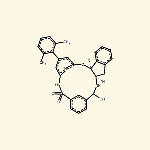 Cc1cccc(C)c1-c1cc2nc(n1)NS(=O)(=O)c1cccc(c1)C(O)N[C@@H]1Cc3ccccc3[C@@H]1O2